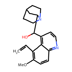 C=Cc1c(OC)ccc2nccc(C(O)C3CC4CCN3CC4)c12